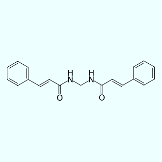 O=C(/C=C/c1ccccc1)NCNC(=O)/C=C/c1ccccc1